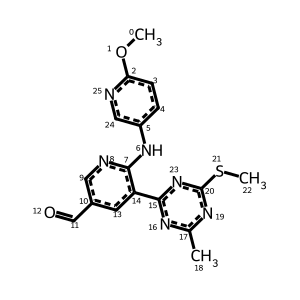 COc1ccc(Nc2ncc(C=O)cc2-c2nc(C)nc(SC)n2)cn1